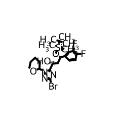 CC(C)(C)[Si](C)(C)OC(C[C@@H](O)c1nc(Br)nn1C1CCCCO1)c1ccc(F)c(F)c1